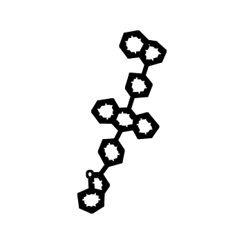 c1ccc2oc(-c3ccc(-c4c5ccccc5c(-c5ccc(-c6cccc7ccccc67)cc5)c5ccccc45)cc3)cc2c1